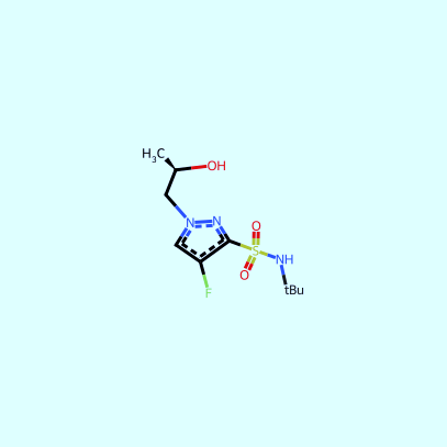 C[C@@H](O)Cn1cc(F)c(S(=O)(=O)NC(C)(C)C)n1